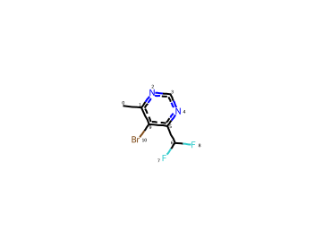 Cc1ncnc(C(F)F)c1Br